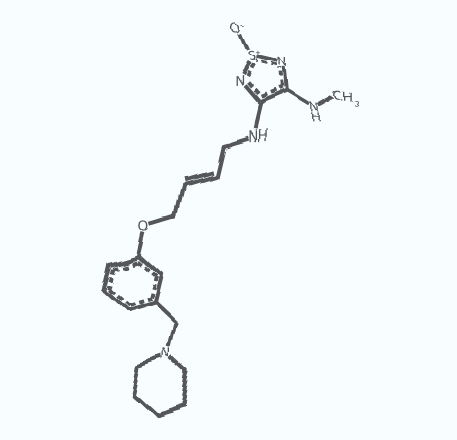 CNc1n[s+]([O-])nc1NCC=CCOc1cccc(CN2CCCCC2)c1